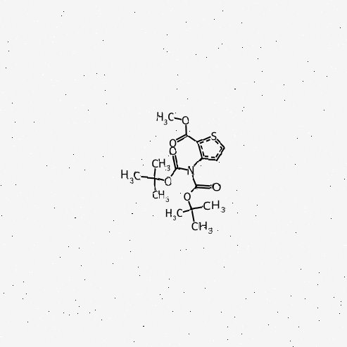 COC(=O)c1sccc1N(C(=O)OC(C)(C)C)C(=O)OC(C)(C)C